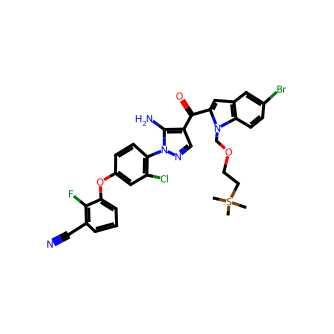 CS(C)(C)CCOCn1c(C(=O)c2cnn(-c3ccc(Oc4cccc(C#N)c4F)cc3Cl)c2N)cc2cc(Br)ccc21